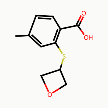 Cc1ccc(C(=O)O)c(SC2COC2)c1